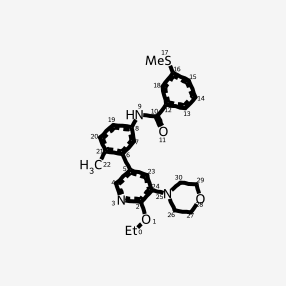 CCOc1ncc(-c2cc(NC(=O)c3cccc(SC)c3)ccc2C)cc1N1CCOCC1